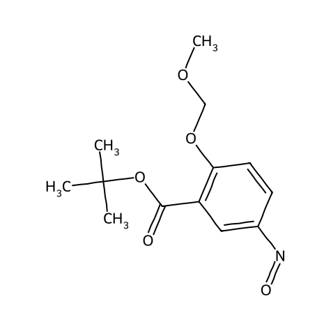 COCOc1ccc(N=O)cc1C(=O)OC(C)(C)C